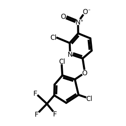 O=[N+]([O-])c1ccc(Oc2c(Cl)cc(C(F)(F)F)cc2Cl)nc1Cl